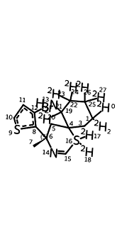 [2H]C1([2H])CC2(C[C@@](C)(c3sccc3Br)N=CS2([2H])[2H])C([2H])(N)C([2H])([2H])C1([2H])[2H]